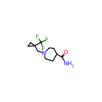 NC(=O)C1CCN(CC2(C(F)(F)F)CC2)CC1